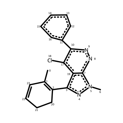 CC1=C(c2nn(C)c3nnc(-c4ccccc4)c(Cl)c23)CCC=C1